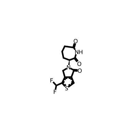 O=C1CCC[C@H](N2Cc3c(csc3C(F)F)C2=O)C(=O)N1